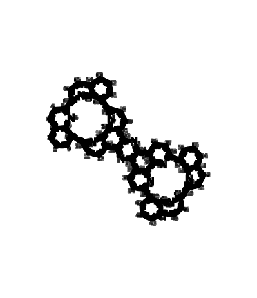 c1cc2ccc3nc2c(c1)c1ccc2c(n1)c1nc(ccc1c1nc4c5ccc6nc5c5nc(ccc5c4nc21)c1cccc2ccc(nc21)c1ccc2cccc6c2n1)c1cccc2ccc3nc21